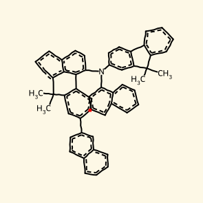 CC1(C)c2ccccc2-c2ccc(N(c3ccc4cccc5c4c3-c3ccc(-c4ccc6ccccc6c4)cc3C5(C)C)c3cccc4ccccc34)cc21